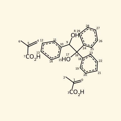 C=C(C)C(=O)O.C=C(C)C(=O)O.OC(c1ccccc1)C(O)(c1ccccc1)c1ccccc1